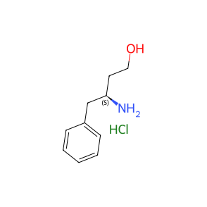 Cl.N[C@H](CCO)Cc1ccccc1